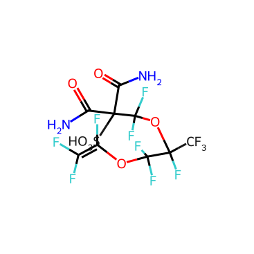 NC(=O)C(C(N)=O)(C(F)(F)OC(F)(C(F)(F)F)C(F)(F)OC(F)=C(F)F)S(=O)(=O)O